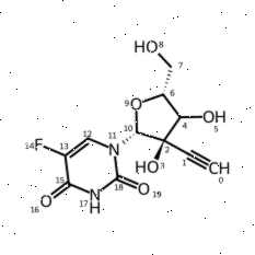 C#C[C@@]1(O)C(O)[C@@H](CO)O[C@H]1n1cc(F)c(=O)[nH]c1=O